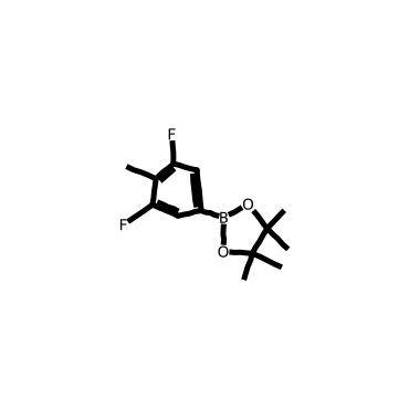 Cc1c(F)cc(B2OC(C)(C)C(C)(C)O2)cc1F